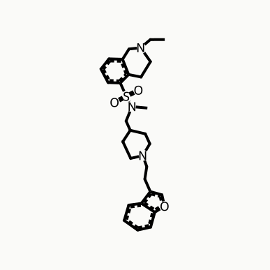 CCN1CCc2c(cccc2S(=O)(=O)N(C)CC2CCN(CCc3coc4ccccc34)CC2)C1